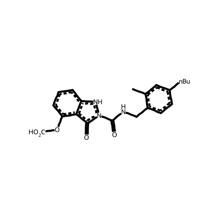 CCCCc1ccc(CNC(=O)n2[nH]c3cccc(OC(=O)O)c3c2=O)c(C)c1